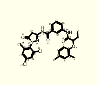 CCC(Oc1ccc(C)cc1C)C(=O)Nc1cccc(C(=O)NC2=NN(c3c(Cl)cc(Cl)cc3Cl)C(=O)C2)c1